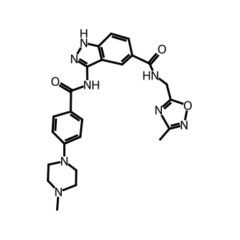 Cc1noc(CNC(=O)c2ccc3[nH]nc(NC(=O)c4ccc(N5CCN(C)CC5)cc4)c3c2)n1